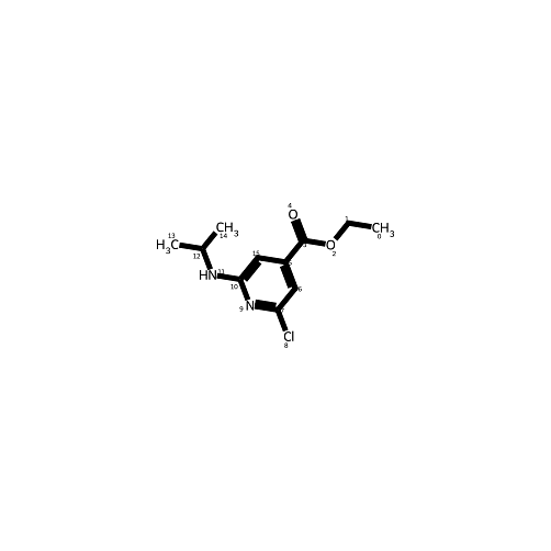 CCOC(=O)c1cc(Cl)nc(NC(C)C)c1